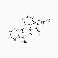 CCCCN1C(CN2C(=O)C3(CN(C(C)=O)C3)c3ccccc32)=NC2CCCCC21